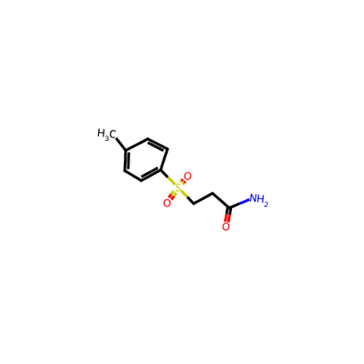 Cc1ccc(S(=O)(=O)CCC(N)=O)cc1